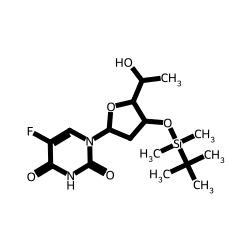 CC(O)C1OC(n2cc(F)c(=O)[nH]c2=O)CC1O[Si](C)(C)C(C)(C)C